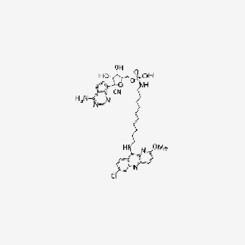 COc1ccc2nc3cc(Cl)ccc3c(NCCCCCCCCCCNP(=O)(O)OC[C@H]3O[C@@](C#N)(c4ccc5c(N)ncnn45)[C@H](O)[C@@H]3O)c2n1